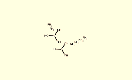 N.N.N.OB(O)O.OB(O)O.P.P.P